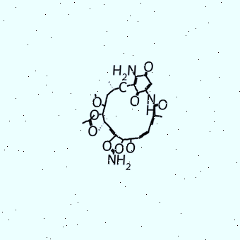 COC1/C=C\C=C(/C)C(=O)NC2=CC(=O)C(N)=C(C[C@@H](C)CC(OC)[C@H](OC(C)=O)[C@@H](C)/C=C(\C)C1OC(N)=O)C2=O